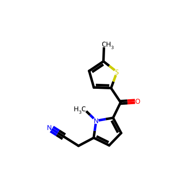 Cc1ccc(C(=O)c2ccc(CC#N)n2C)s1